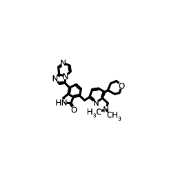 CN(C)Cc1nc(Cc2ccc(-c3cnc4cnccn34)c3c2C(=O)NC3)ccc1C1CCOCC1